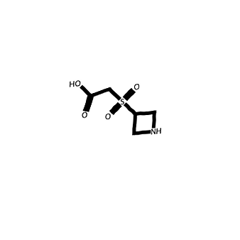 O=C(O)CS(=O)(=O)C1CNC1